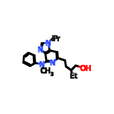 CCC(CO)CCc1cc2c(ncn2C(C)C)c(N(C)c2ccccc2)n1